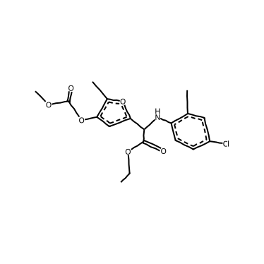 CCOC(=O)C(Nc1ccc(Cl)cc1C)c1cc(OC(=O)OC)c(C)o1